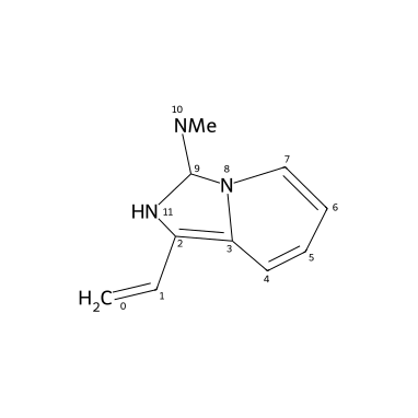 C=CC1=C2C=CC=CN2C(NC)N1